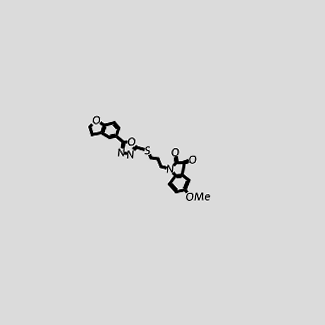 COc1ccc2c(c1)C(=O)C(=O)N2CCCSc1nnc(-c2ccc3c(c2)CCO3)o1